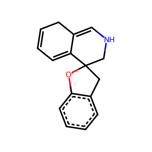 C1=CCC2=CNCC3(Cc4ccccc4O3)C2=C1